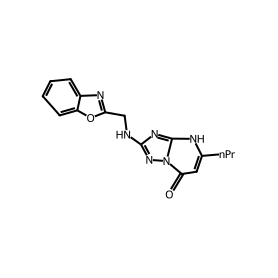 CCCc1cc(=O)n2nc(NCc3nc4ccccc4o3)nc2[nH]1